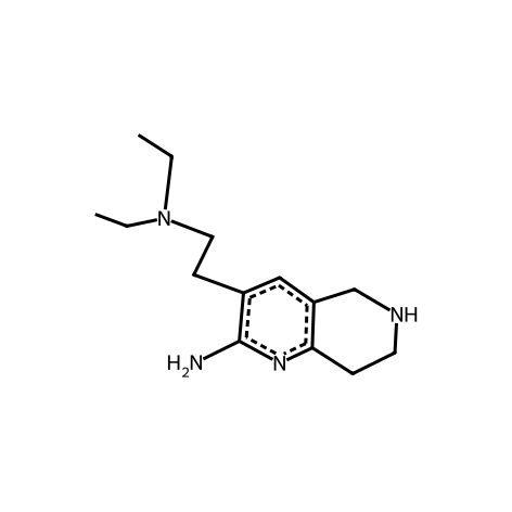 CCN(CC)CCc1cc2c(nc1N)CCNC2